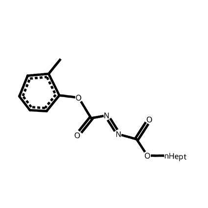 CCCCCCCOC(=O)/N=N/C(=O)Oc1ccccc1C